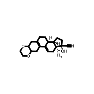 C[C@]12CC=C3C4=C(CC[C@H]3[C@@H]1CC[C@]2(O)C#N)CC1OCCOC1C4